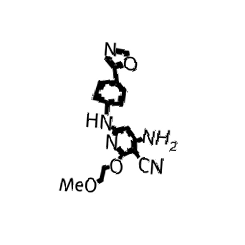 COCCOc1nc(Nc2ccc(-c3cnco3)cc2)cc(N)c1C#N